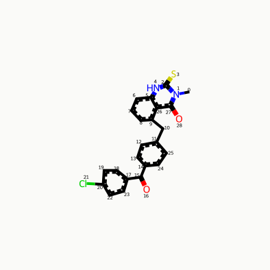 Cn1c(=S)[nH]c2cccc(Cc3ccc(C(=O)c4ccc(Cl)cc4)cc3)c2c1=O